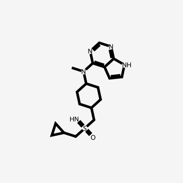 CN(c1ncnc2[nH]ccc12)C1CCC(CS(=N)(=O)CC2CC2)CC1